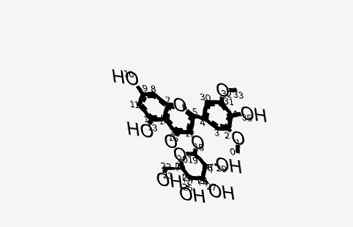 COc1cc(-c2oc3cc(O)cc(O)c3c(=O)c2OC2O[C@H](CO)[C@@H](O)[C@H](O)[C@H]2O)cc(OC)c1O